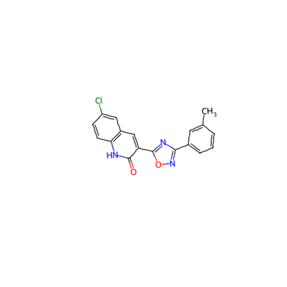 Cc1cccc(-c2noc(-c3cc4cc(Cl)ccc4[nH]c3=O)n2)c1